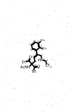 CCC(=O)C(C/C=C(\CNCC(F)(F)F)c1cccc(F)c1F)(NC(C)=O)C(=O)CC